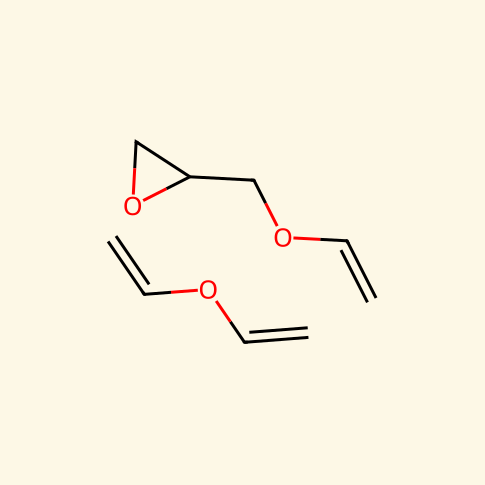 C=COC=C.C=COCC1CO1